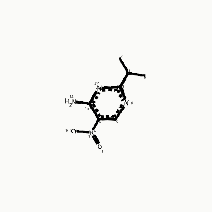 CC(C)c1ncc([N+](=O)[O-])c(N)n1